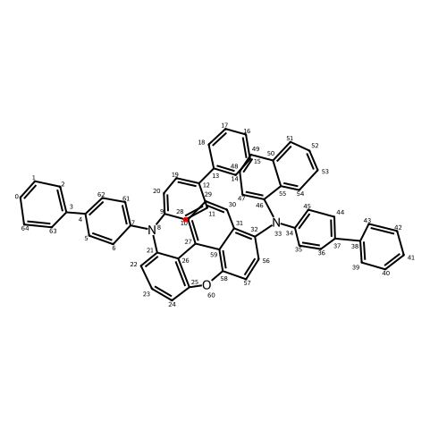 c1ccc(-c2ccc(N(c3ccc(-c4ccccc4)cc3)c3cccc4c3-c3cccc5c(N(c6ccc(-c7ccccc7)cc6)c6cccc7ccccc67)ccc(c35)O4)cc2)cc1